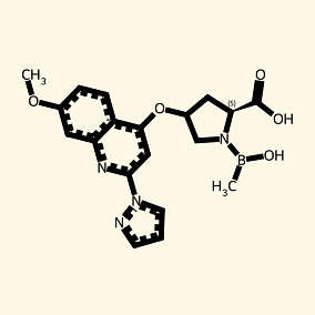 COc1ccc2c(OC3C[C@@H](C(=O)O)N(B(C)O)C3)cc(-n3cccn3)nc2c1